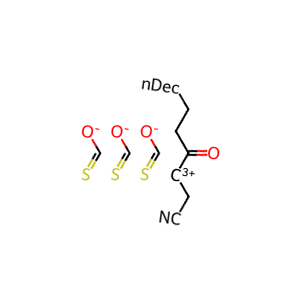 CCCCCCCCCCCCC(=O)[C+3]CC#N.[O-]C=S.[O-]C=S.[O-]C=S